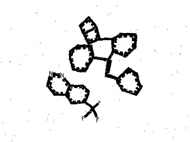 C(=C(c1ccccc1)c1ccccc1-c1cc2ccc1-2)c1ccccc1.FC(F)(F)c1ccc2nnccc2c1